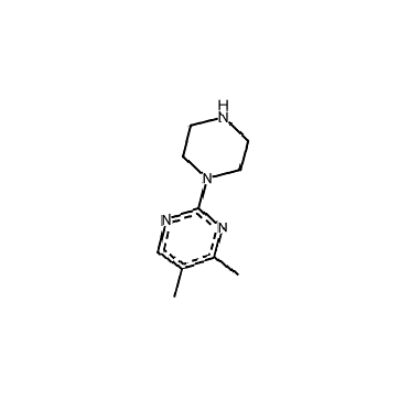 Cc1cnc(N2CCNCC2)nc1C